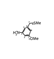 COc1cc(N)cc(CSC)c1